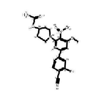 COc1cc(-c2ccc(C#N)c(F)c2)nc(N2CCC(OC(N)=O)CC2)c1[N+](=O)[O-]